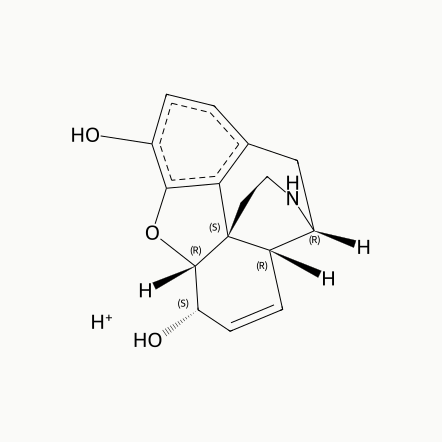 Oc1ccc2c3c1O[C@H]1[C@@H](O)C=C[C@H]4[C@@H](C2)NCC[C@@]341.[H+]